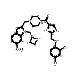 O=C(O)c1ccc2nc(CN3CCN(C(=O)c4cnc(COc5ccc(Cl)cc5Cl)o4)CC3)n(C[C@@H]3CCO3)c2c1